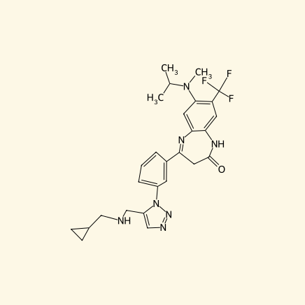 CC(C)N(C)c1cc2c(cc1C(F)(F)F)NC(=O)CC(c1cccc(-n3nncc3CNCC3CC3)c1)=N2